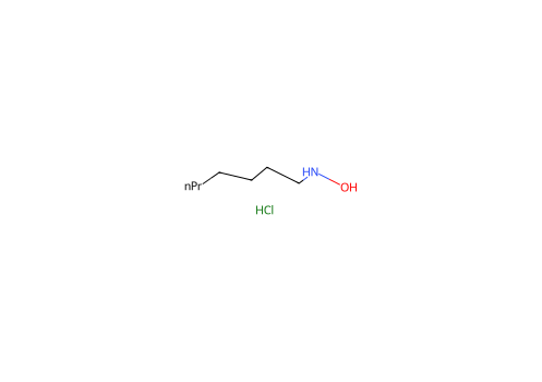 CCCCCCCNO.Cl